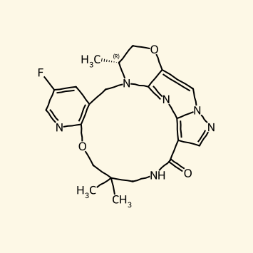 C[C@@H]1COc2cn3ncc4c3nc2N1Cc1cc(F)cnc1OCC(C)(C)CNC4=O